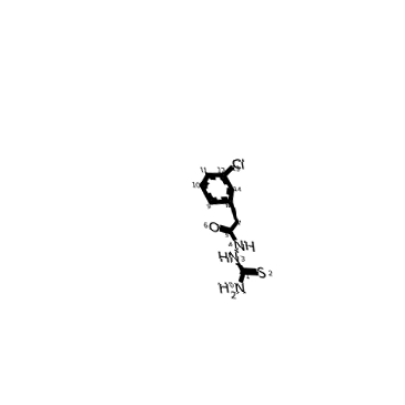 NC(=S)NNC(=O)Cc1cccc(Cl)c1